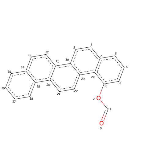 O=[C]Oc1cccc2ccc3c4ccc5ccccc5c4ccc3c12